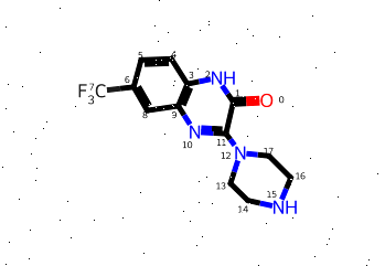 O=c1[nH]c2ccc(C(F)(F)F)cc2nc1N1CCNCC1